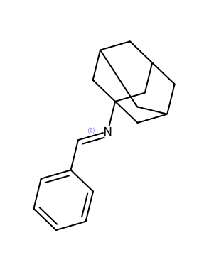 C(=N\C12CC3CC(CC(C3)C1)C2)/c1ccccc1